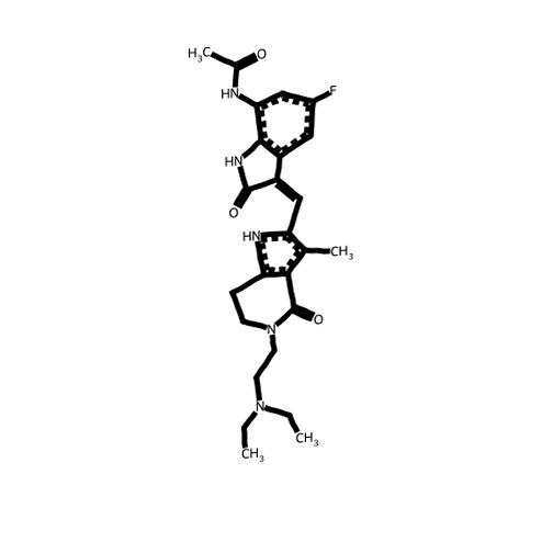 CCN(CC)CCN1CCc2[nH]c(/C=C3\C(=O)Nc4c(NC(C)=O)cc(F)cc43)c(C)c2C1=O